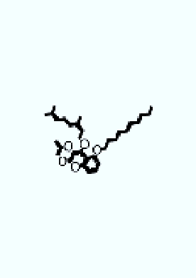 CCCCCCCCCCOc1cccc2oc(=O)c(OC(C)C)c(OCC=C(C)CCC=C(C)C)c12